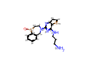 NCCCNc1nc(N2CC[S+]([O-])c3ccccc3C2)nc2ccsc12